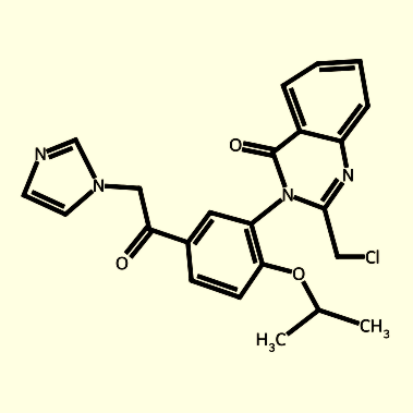 CC(C)Oc1ccc(C(=O)Cn2ccnc2)cc1-n1c(CCl)nc2ccccc2c1=O